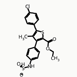 CCOC(=O)c1sc(-c2ccc(Cl)cc2)c(C)c1-c1ccc(N[SH](=O)=O)cc1